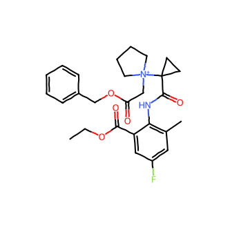 CCOC(=O)c1cc(F)cc(C)c1NC(=O)C1([N+]2(CC(=O)OCc3ccccc3)CCCC2)CC1